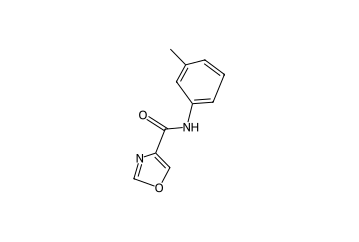 Cc1cccc(NC(=O)c2cocn2)c1